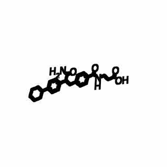 NC(=O)C(Cc1ccc(C(=O)NCCC(=O)O)cc1)c1ccc(C2CCCCC2)cc1